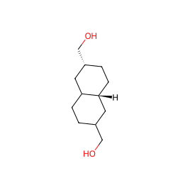 OCC1CCC2C[C@H](CO)CC[C@@H]2C1